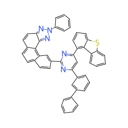 c1ccc(-c2cccc(-c3cc(-c4cccc5sc6ccccc6c45)nc(-c4ccc5ccc6ccc7nn(-c8ccccc8)nc7c6c5c4)n3)c2)cc1